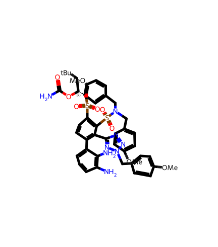 COc1ccc(CN(Cc2ccc(OC)cc2)S(=O)(=O)c2c(S(=O)(=O)C[C@@H](CC(C)(C)C)OC(N)=O)ccc(-c3cccc(N)c3N)c2-c2nnn(Cc3ccc(OC)cc3)n2)cc1